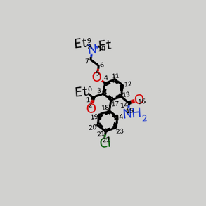 CCC(=O)c1c(OCCN(CC)CC)ccc(C(N)=O)c1-c1ccc(Cl)cc1